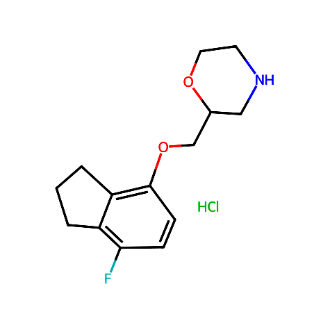 Cl.Fc1ccc(OCC2CNCCO2)c2c1CCC2